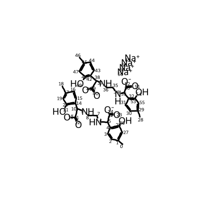 Cc1ccc(C(NCCNC(C(=O)[O-])c2ccc(C)cc2O)C(=O)[O-])c(O)c1.Cc1ccc(C(NCCNC(C(=O)[O-])c2ccc(C)cc2O)C(=O)[O-])c(O)c1.[Na+].[Na+].[Na+].[Na+]